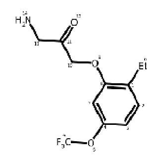 CCc1ccc(OC(F)(F)F)cc1OCC(=O)CN